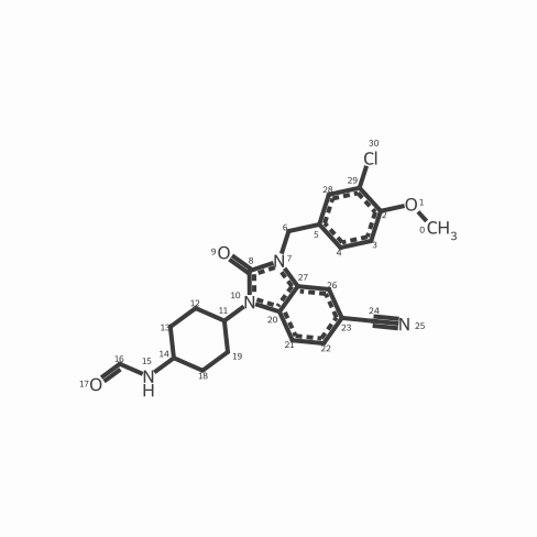 COc1ccc(Cn2c(=O)n(C3CCC(NC=O)CC3)c3ccc(C#N)cc32)cc1Cl